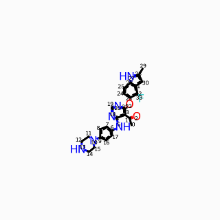 CC(=O)c1c(Nc2ccc(N3CCNCC3)cc2)ncnc1Oc1ccc2[nH]c(C)cc2c1F